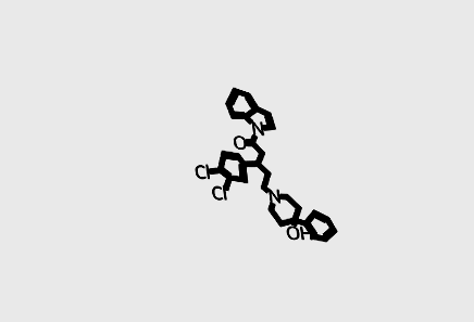 O=C(CC(CCN1CCC(O)(c2ccccc2)CC1)c1ccc(Cl)c(Cl)c1)n1ccc2ccccc21